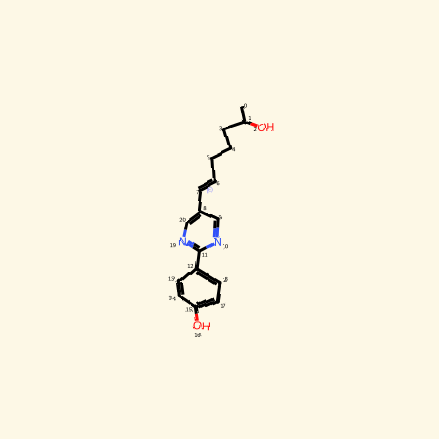 CC(O)CCC/C=C/c1cnc(-c2ccc(O)cc2)nc1